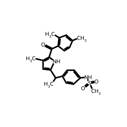 Cc1ccc(C(=O)c2[nH]c(C(C)c3ccc(NS(C)(=O)=O)cc3)cc2C)c(C)c1